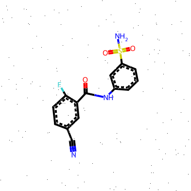 N#Cc1ccc(F)c(C(=O)Nc2cccc(S(N)(=O)=O)c2)c1